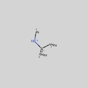 CCCCCC[SiH](CCCCCC)NC(C)C